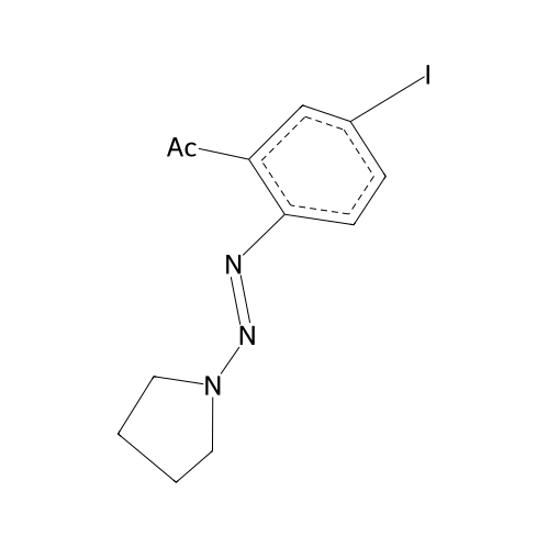 CC(=O)c1cc(I)ccc1N=NN1CCCC1